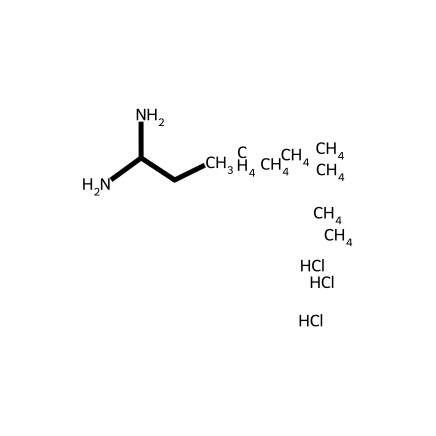 C.C.C.C.C.C.C.CCC(N)N.Cl.Cl.Cl